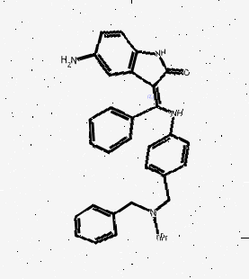 CCCN(Cc1ccccc1)Cc1ccc(N/C(=C2\C(=O)Nc3ccc(N)cc32)c2ccccc2)cc1